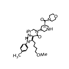 COCCCCc1c(C(=O)N(CC(C)C)[C@@H]2CNC[C@H](C(=O)N3CCOCC3)C2)nnn1-c1ccc(C)cc1